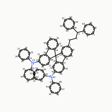 c1ccc(C(CCc2ccc3c(c2)C2(c4ccccc4-c4cc(N(c5ccccc5)c5ccccc5)ccc42)c2cc(N(c4ccccc4)c4ccccc4)ccc2-3)c2ccccc2)cc1